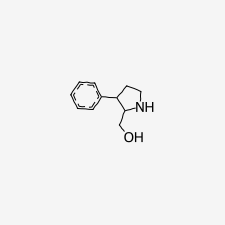 OCC1NCCC1c1ccccc1